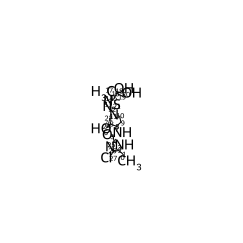 CCc1[nH]c(C(=O)NC2CCN(c3nnc(C(C)(O)CO)s3)CC2O)nc1Cl